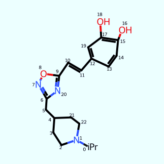 CC(C)N1CCC(Cc2noc(C=Cc3ccc(O)c(O)c3)n2)CC1